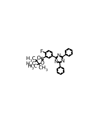 CC1(C)OB(c2cc(-c3nc(-c4ccccc4)nc(-c4ccccc4)n3)ccc2F)OC1(C)C